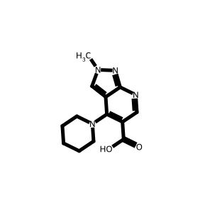 Cn1cc2c(N3CCCCC3)c(C(=O)O)cnc2n1